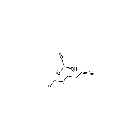 CCCCCC=N.[OH][Ir]([OH])[OH]